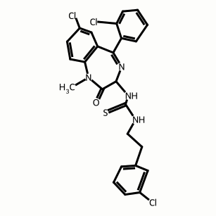 CN1C(=O)C(NC(=S)NCCc2cccc(Cl)c2)N=C(c2ccccc2Cl)c2cc(Cl)ccc21